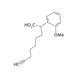 C#CCCCCCC(C(=O)O)c1ccccc1OC